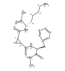 CNC(=O)[C@H](Cc1ccccc1)NC(=O)C1OC1C(=O)N[C@@H](CCCCN)C(=O)O